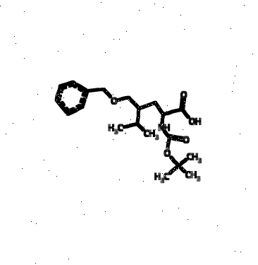 CC(C)C(COCc1ccccc1)CC(NC(=O)OC(C)(C)C)C(=O)O